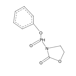 O=C1OCCN1[PH](=O)Oc1ccccc1